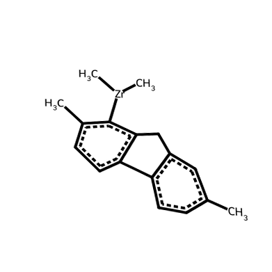 Cc1ccc2c(c1)Cc1c-2ccc(C)[c]1[Zr]([CH3])[CH3]